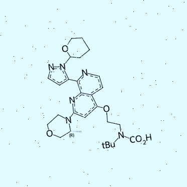 C[C@@H]1COCCN1c1cc(OCCN(C(=O)O)C(C)(C)C)c2ccnc(-c3ccnn3C3CCCCO3)c2n1